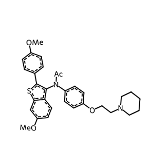 COc1ccc(-c2sc3cc(OC)ccc3c2N(C(C)=O)c2ccc(OCCN3CCCCC3)cc2)cc1